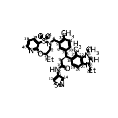 CC[C@@H]1CN(Cc2cc([C@H](CC(=O)Nc3cnsc3)c3ccc4c(c3C)N(C)NN4CC)ccc2C)S(=O)(=O)c2cccnc2O1